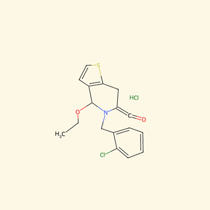 CCOC1c2ccsc2CC(=C=O)N1Cc1ccccc1Cl.Cl